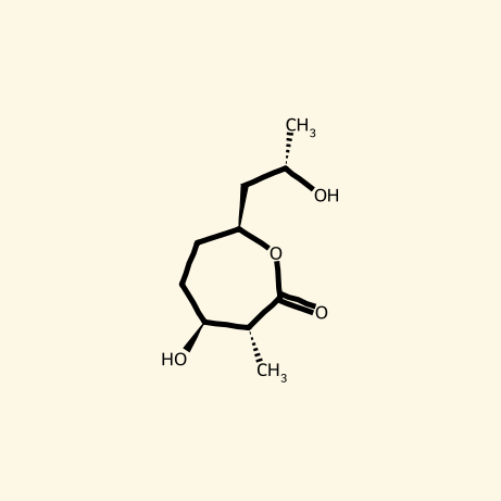 C[C@H](O)C[C@@H]1CC[C@H](O)[C@@H](C)C(=O)O1